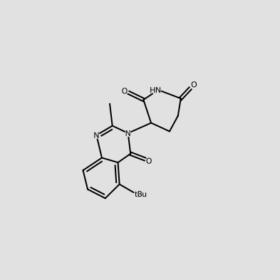 Cc1nc2cccc(C(C)(C)C)c2c(=O)n1C1CCC(=O)NC1=O